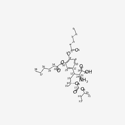 CCCCCC(=O)Oc1ccc(C(CC(C)OC(=O)OC(C)CC)[C@H](N)C(=O)O)cc1OC(=O)CCCCC